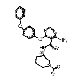 CCC(=O)N1CCC[C@@H](NC(=N)c2c(N)ncnc2Oc2ccc(Oc3ccccc3)cc2)C1